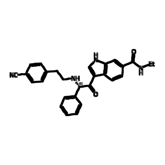 CCNC(=O)c1ccc2c(C(=O)[C@@H](NCCc3ccc(C#N)cc3)c3ccccc3)c[nH]c2c1